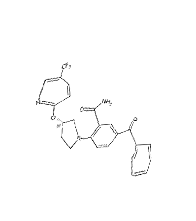 NC(=O)c1cc(C(=O)c2ccccc2)ccc1N1CC[C@H](Oc2ccc(C(F)(F)F)cn2)C1